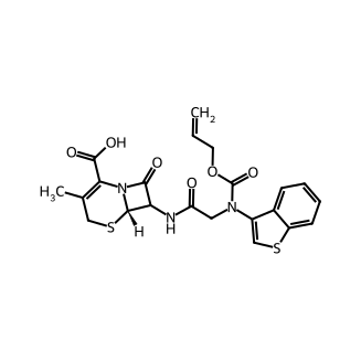 C=CCOC(=O)N(CC(=O)NC1C(=O)N2C(C(=O)O)=C(C)CS[C@@H]12)c1csc2ccccc12